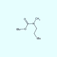 CN(CCC(C)(C)C)C(=O)OC(C)(C)C